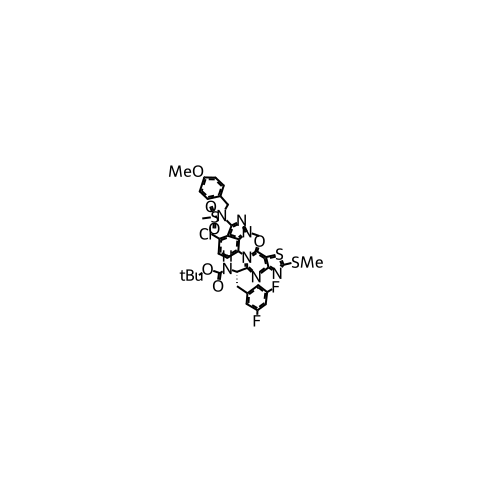 COc1ccc(CN(c2nn(C)c3c(-n4c([C@H](Cc5cc(F)cc(F)c5)NC(=O)OC(C)(C)C)nc5nc(SC)sc5c4=O)ccc(Cl)c23)S(C)(=O)=O)cc1